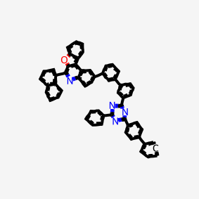 c1ccc(-c2ccc(-c3nc(-c4ccccc4)nc(-c4cccc(-c5cccc(-c6ccc7nc(-c8cccc9ccccc89)c8oc9ccccc9c8c7c6)c5)c4)n3)cc2)cc1